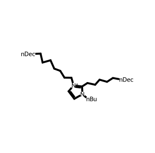 CCCCCCCCCCCCCCCCC[n+]1ccn(CCCC)c1CCCCCCCCCCCCCCC